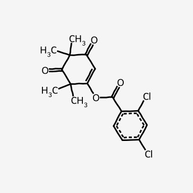 CC1(C)C(=O)C=C(OC(=O)c2ccc(Cl)cc2Cl)C(C)(C)C1=O